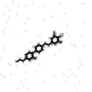 CCCc1ccc(-c2ccc(CCc3cc(F)c(Cl)c(F)c3)cc2)c(F)c1